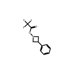 O=C(ON1CC(c2ccccc2)C1)C(F)(F)F